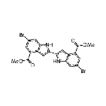 COC(=O)c1cc(Br)cc2[nH]c(-c3cc4c(C(=O)OC)cc(Br)cc4[nH]3)cc12